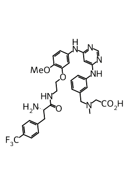 COc1ccc(Nc2cc(Nc3cccc(CN(C)CC(=O)O)c3)ncn2)cc1OCCNC(=O)[C@@H](N)Cc1ccc(C(F)(F)F)cc1